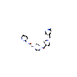 Nc1cc(CN2CCC(C(=O)N3CCN(CC(=O)Nc4ccccn4)CC3)CC2)ccn1